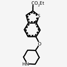 CCOC(=O)c1cc2ccc(OC3CCNCC3)cc2s1